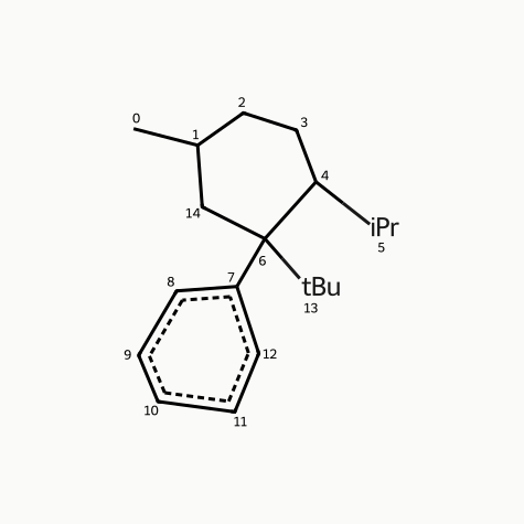 CC1CCC(C(C)C)C(c2ccccc2)(C(C)(C)C)C1